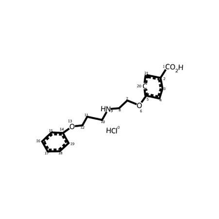 Cl.O=C(O)c1ccc(OCCNCCCOc2ccccc2)cc1